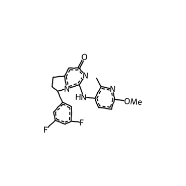 COc1ccc(Nc2nc(=O)cc3n2C(c2cc(F)cc(F)c2)CC3)c(C)n1